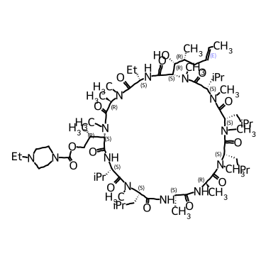 C/C=C/C[C@@H](C)[C@@H](O)[C@H]1C(=O)N[C@@H](CC)C(=O)N(C)[C@H](C)C(=O)N(C)[C@@H]([C@@H](C)COC(=O)N2CCN(CC)CC2)C(=O)N[C@@H](C(C)C)C(=O)N(C)[C@@H](CC(C)C)C(=O)N[C@@H](C)C(=O)N[C@H](C)C(=O)N(C)[C@@H](CC(C)C)C(=O)N(C)[C@@H](CC(C)C)C(=O)N(C)[C@@H](C(C)C)C(=O)N1C